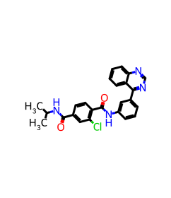 CC(C)NC(=O)c1ccc(C(=O)Nc2cccc(-c3ncnc4ccccc34)c2)c(Cl)c1